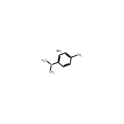 Cc1ccc(N(C)C)cc1.N